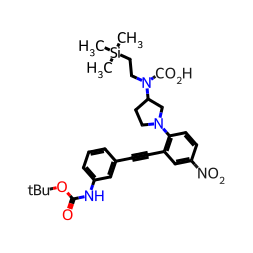 CC(C)(C)OC(=O)Nc1cccc(C#Cc2cc([N+](=O)[O-])ccc2N2CCC(N(CC[Si](C)(C)C)C(=O)O)C2)c1